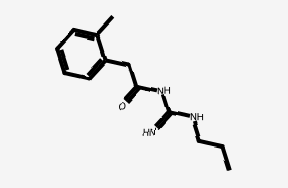 CCCNC(=N)NC(=O)Cc1ccccc1C